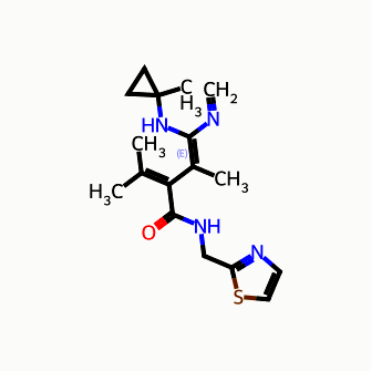 C=N/C(NC1(C)CC1)=C(\C)C(C(=O)NCc1nccs1)=C(C)C